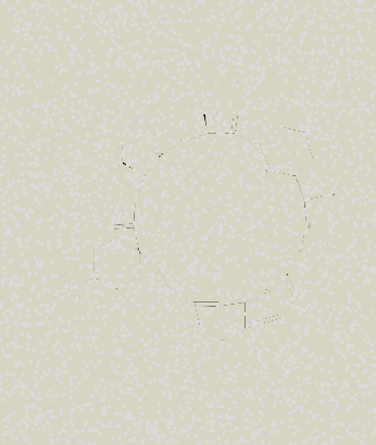 CC(C)[C@@H]1OC(=O)C2(/C=C/c3ccc4ccc(nc4c3)[C@@H](C)NC(O)[C@@H]3CCCN(N3)C(=O)[C@H](C)NC1=O)CCN(S(C)(=O)=O)CC2